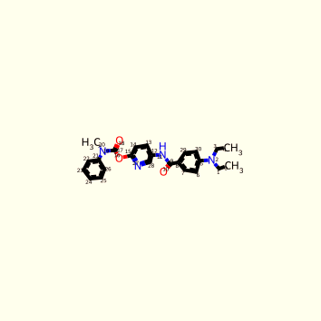 CCN(CC)c1ccc(C(=O)Nc2ccc(OC(=O)N(C)c3ccccc3)nc2)cc1